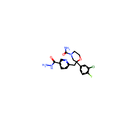 NNC(=O)c1ccc(CC2(c3ccc(F)c(Cl)c3)CN(C(N)=O)CCO2)nc1